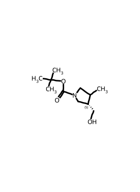 CC1CN(C(=O)OC(C)(C)C)C[C@H]1CO